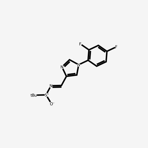 CC(C)(C)[S+]([O-])N=Cc1cn(-c2ccc(F)cc2F)cn1